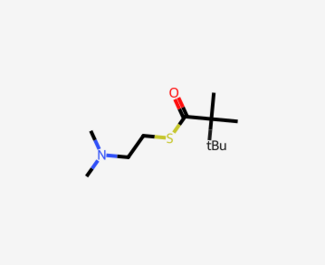 CN(C)CCSC(=O)C(C)(C)C(C)(C)C